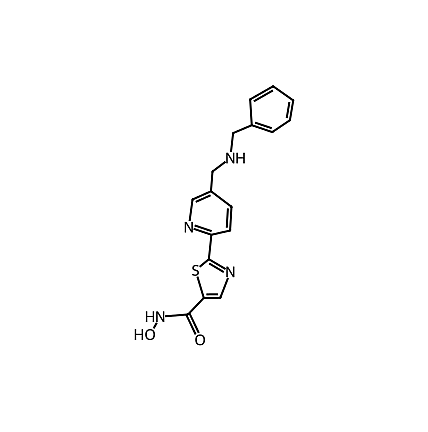 O=C(NO)c1cnc(-c2ccc(CNCc3ccccc3)cn2)s1